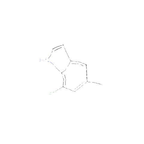 Cc1cc(F)c2[nH]ccc2c1